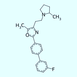 Cc1oc(-c2ccc(-c3cccc(F)c3)cc2)nc1CCN1CCCC1C